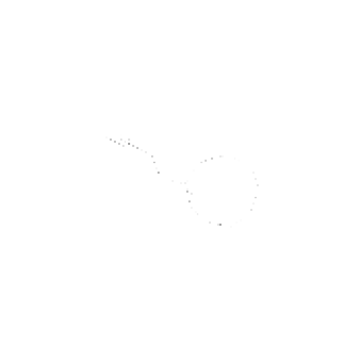 C#CCO/C1=N/CCCCCCC1